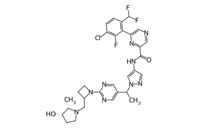 CC(c1cnc(N2CCC2CN2CC[C@H](O)[C@@H]2C)nc1)n1cc(NC(=O)c2cncc(-c3c(C(F)F)ccc(Cl)c3F)n2)cn1